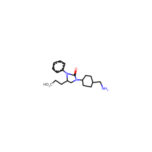 NCC1CCC(N2CC(CCC(=O)O)N(c3ccccc3)C2=O)CC1